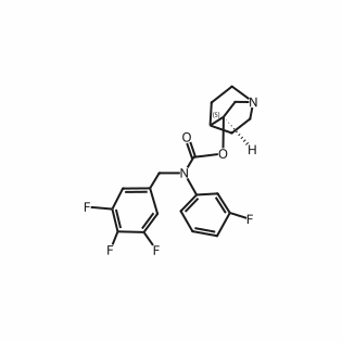 O=C(O[C@@H]1CN2CCC1CC2)N(Cc1cc(F)c(F)c(F)c1)c1cccc(F)c1